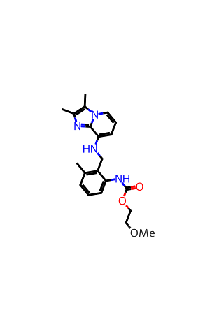 COCCOC(=O)Nc1cccc(C)c1CNc1cccn2c(C)c(C)nc12